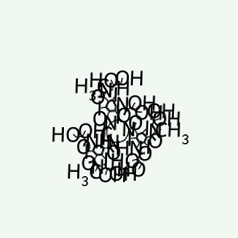 CN(CC(O)CO)C(=O)c1c(I)c(NC(=O)C(O)CO)c(I)c(C(=O)N2CCCN(C(=O)c3c(I)c(NC(=O)C(O)CO)c(I)c(C(=O)N(C)CC(O)CO)c3I)CCCN(C(=O)c3c(I)c(NC(=O)C(O)CO)c(I)c(C(=O)N(C)CC(O)CO)c3I)CCC2)c1I